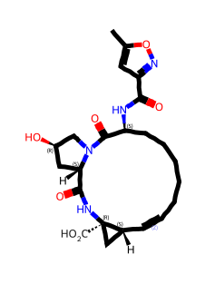 Cc1cc(C(=O)N[C@H]2CCCCC/C=C\[C@@H]3C[C@@]3(C(=O)O)NC(=O)[C@@H]3C[C@@H](O)CN3C2=O)no1